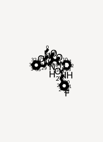 CCn1c(=O)c(C(=O)CN2CCCC[C@@H]2C(=O)NCc2ccc(F)cc2)c(N)n(Cc2ccccc2)c1=O